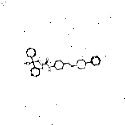 C[C@H](NC(=O)NC1CCC(CCN2CCC(c3ccccc3)CC2)CC1)C(O)(c1ccccc1)c1ccccc1